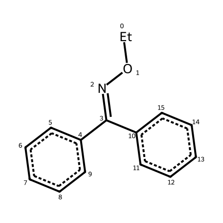 CCON=C(c1ccccc1)c1ccccc1